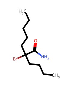 CCCCCC(Br)(CCCC)C(N)=O